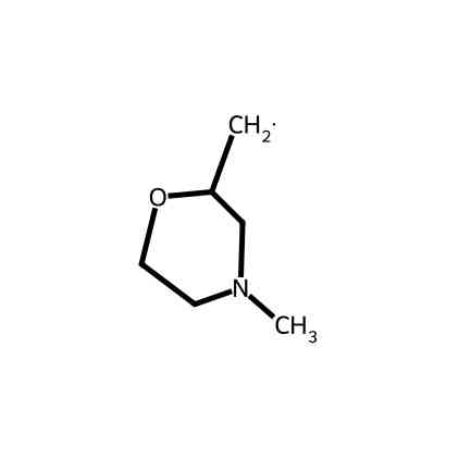 [CH2]C1CN(C)CCO1